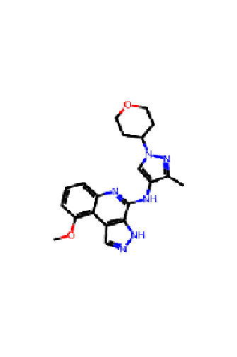 COc1cccc2nc(Nc3cn(C4CCOCC4)nc3C)c3[nH]ncc3c12